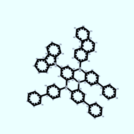 c1ccc(-c2ccc(N3c4ccc(-c5ccccc5)cc4B4c5cc(-c6ccccc6)ccc5N(c5ccc6c(ccc7ccccc76)c5)c5cc(-n6c7ccccc7c7ccccc76)cc3c54)cc2)cc1